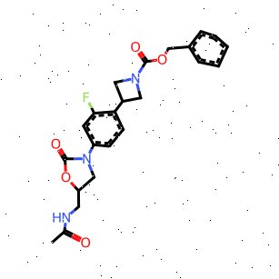 CC(=O)NCC1CN(c2ccc(C3CN(C(=O)OCc4ccccc4)C3)c(F)c2)C(=O)O1